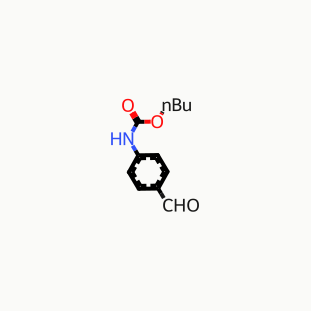 CCCCOC(=O)Nc1ccc(C=O)cc1